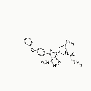 C=CC(=O)N1CC(n2nc(-c3ccc(Oc4ccccc4)cc3)c3c(N)ncnc32)CC2C(C)C21